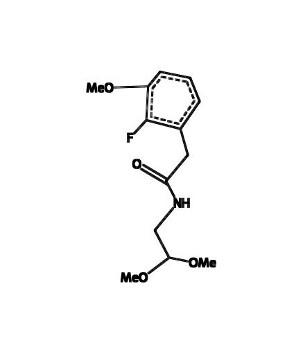 COc1cccc(CC(=O)NCC(OC)OC)c1F